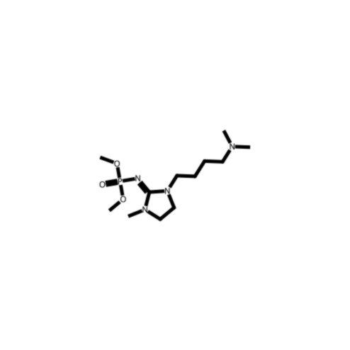 COP(=O)(/N=C1\N(C)CCN1CCCCN(C)C)OC